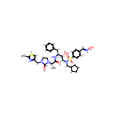 CC(C)c1nc(CN2CCN([C@H](C(=O)N[C@@H](Cc3ccccc3)[C@H](O)CN(CC3CCCC3)S(=O)(=O)c3ccc(C=NO)cc3)C(C)C)C2=O)cs1